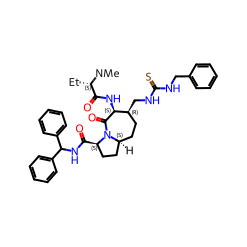 CC[C@H](NC)C(=O)N[C@@H]1C(=O)N2[C@@H](CC[C@@H]1CNC(=S)NCc1ccccc1)CC[C@H]2C(=O)NC(c1ccccc1)c1ccccc1